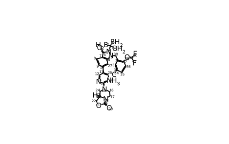 BC(B)(B)n1c(=O)c2ccc(-c3cnc(N4CCN5C(=O)OC[C@H]5C4)nc3)cc2n1Cc1cc(C)ccc1OC(F)F